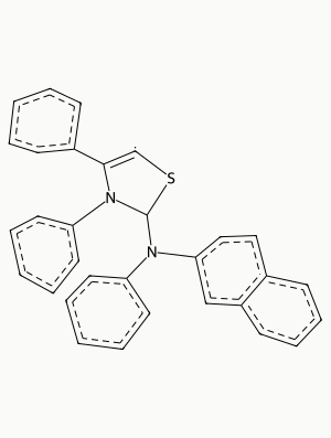 [C]1=C(c2ccccc2)N(c2ccccc2)C(N(c2ccccc2)c2ccc3ccccc3c2)S1